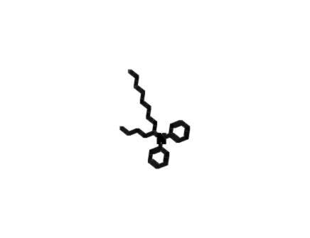 CCCCCCCCC(CCCC)N(c1ccccc1)c1ccccc1